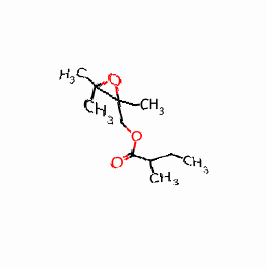 CCC(C)C(=O)OCC1(C)OC1(C)C